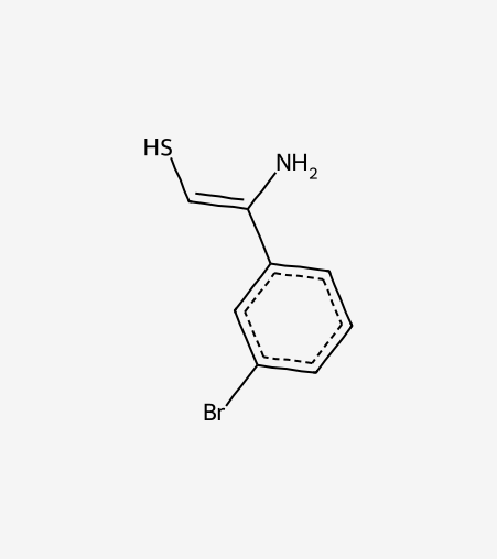 N/C(=C\S)c1cccc(Br)c1